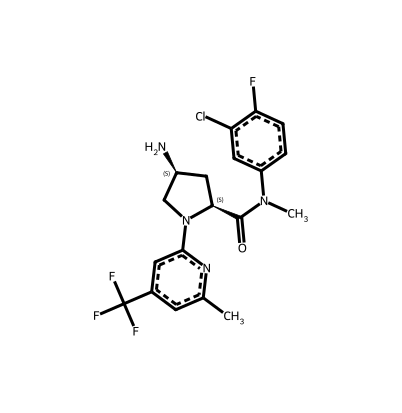 Cc1cc(C(F)(F)F)cc(N2C[C@@H](N)C[C@H]2C(=O)N(C)c2ccc(F)c(Cl)c2)n1